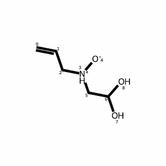 C=CC[NH+]([O-])CC(O)O